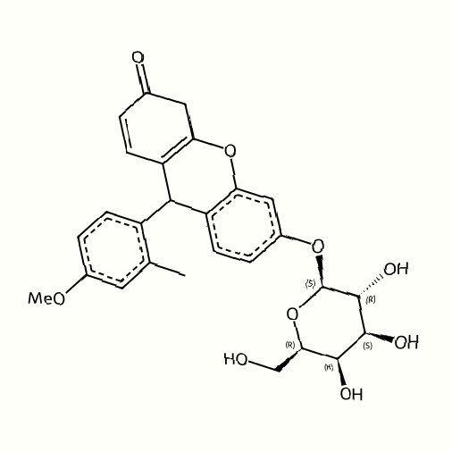 COc1ccc(C2C3=C(CC(=O)C=C3)Oc3cc(O[C@@H]4O[C@H](CO)[C@H](O)[C@H](O)[C@H]4O)ccc32)c(C)c1